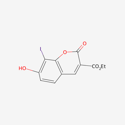 CCOC(=O)c1cc2ccc(O)c(I)c2oc1=O